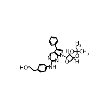 CC1(C)O[C@H]2[C@H](n3cc(-c4ccccc4)c4cnc(Nc5ccc(CCO)cc5)nc43)OC[C@H]2O1